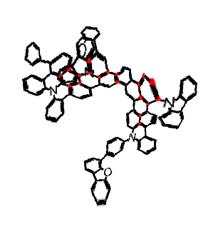 c1ccc(-c2ccccc2-c2ccccc2N(c2ccc(-c3cc(-c4ccc5c(c4)cc(-c4ccc(N(c6ccc(-c7cccc8c7oc7ccccc78)cc6)c6ccccc6-c6ccc(-c7ccccc7-n7c8ccccc8c8ccccc87)cc6)cc4)c4ccccc45)cc4c3oc3ccccc34)cc2)c2ccccc2-c2ccc(-c3ccccc3-n3c4ccccc4c4ccccc43)cc2)cc1